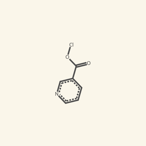 O=C(OCl)c1cccnc1